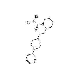 CCN(CC)C(=O)N1CCCCC1CCN1CCN(c2ccccc2)CC1